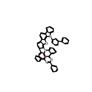 c1ccc(-c2cccc(-n3c4ccccc4c4ccc5c6ccc7c8ccccc8n(-c8ccccc8-c8nc(-c9ccccc9)nc(-c9ccccc9)n8)c7c6oc5c43)c2)cc1